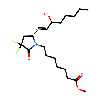 CCCCC[C@H](O)/C=C/[C@H]1CC(F)(F)C(=O)N1CCCCCCC(=O)OC